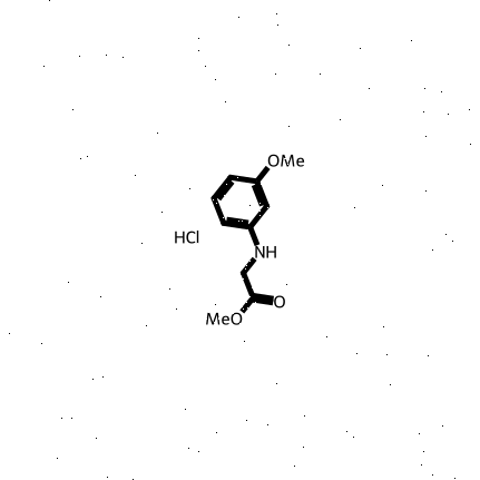 COC(=O)CNc1cccc(OC)c1.Cl